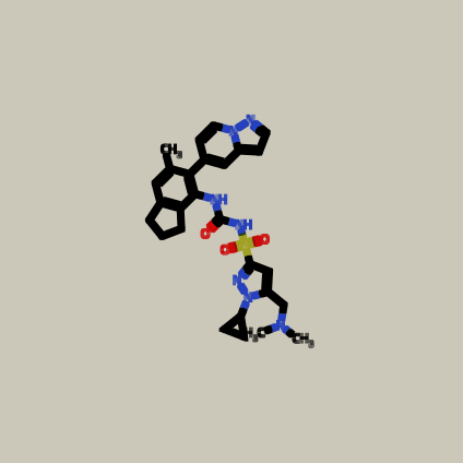 Cc1cc2c(c(NC(=O)NS(=O)(=O)c3cc(CN(C)C)n(C4CC4)n3)c1-c1ccn3nccc3c1)CCC2